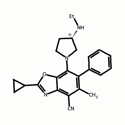 CCN[C@H]1CCN(c2c(-c3ccccc3)c(C)c(C#N)c3nc(C4CC4)oc23)C1